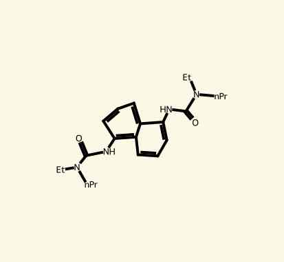 CCCN(CC)C(=O)Nc1cccc2c(NC(=O)N(CC)CCC)cccc12